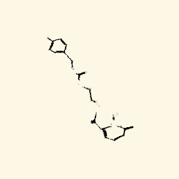 O=C(NCCNC(=O)c1cccc(=S)n1O)OCc1ccc(Cl)cc1